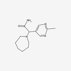 Cc1ncc(C(C(N)=O)N2CCCCCC2)cn1